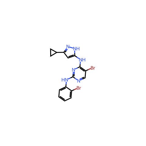 Brc1ccccc1Nc1ncc(Br)c(Nc2cc(C3CC3)n[nH]2)n1